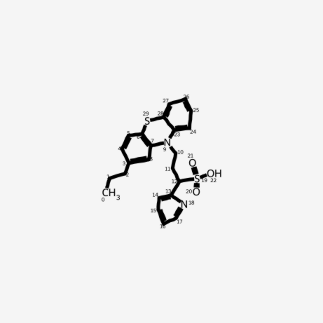 CCCc1ccc2c(c1)N(CCC(c1ccccn1)S(=O)(=O)O)c1ccccc1S2